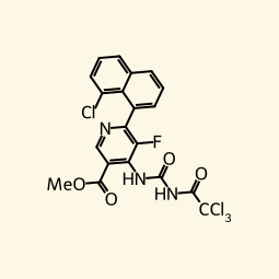 COC(=O)c1cnc(-c2cccc3cccc(Cl)c23)c(F)c1NC(=O)NC(=O)C(Cl)(Cl)Cl